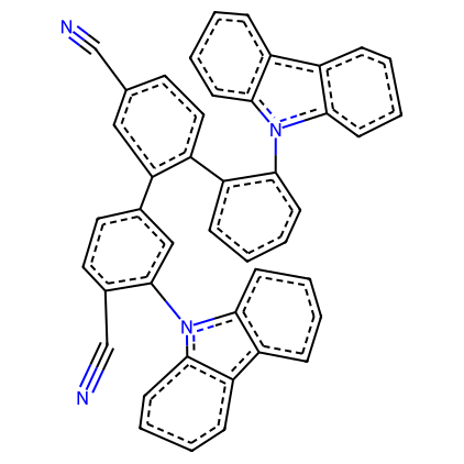 N#Cc1ccc(-c2ccccc2-n2c3ccccc3c3ccccc32)c(-c2ccc(C#N)c(-n3c4ccccc4c4ccccc43)c2)c1